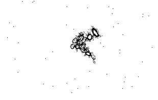 COc1ccc(CN(C2CC(=O)N(C(=O)OC(C)(C)C)C2CO[C@H]2CC[C@@H](c3ccccc3)CC2)S(C)(=O)=O)cc1